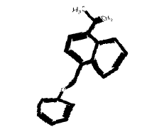 C=C(C)c1ccc(COc2ccccc2)c2ccccc12